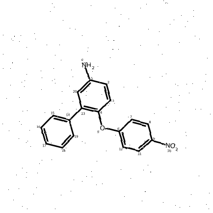 Nc1ccc(Oc2ccc([N+](=O)[O-])cc2)c(-c2ccccc2)c1